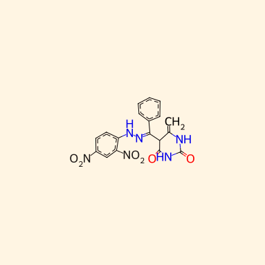 C=C1NC(=O)NC(=O)C1/C(=N/Nc1ccc([N+](=O)[O-])cc1[N+](=O)[O-])c1ccccc1